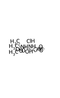 CCC(C)[C@H](NC(=O)CC(O)[C@@H](N)Cc1ccc([N+](=O)[O-])cc1)C(=O)OC.Cl